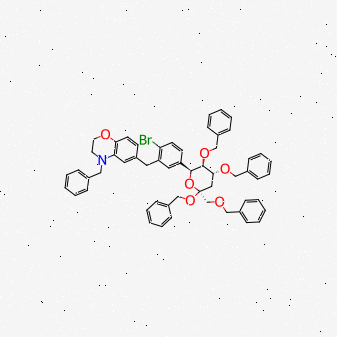 Brc1ccc([C@@H]2O[C@](COCc3ccccc3)(OCc3ccccc3)C[C@@H](OCc3ccccc3)[C@@H]2OCc2ccccc2)cc1Cc1ccc2c(c1)N(Cc1ccccc1)CCO2